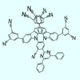 N#Cc1cc(C#N)cc(-c2ccc3c(c2)c2cc(-c4cc(C#N)cc(C#N)c4)ccc2n3-c2cc(C#N)c(-c3nc(-c4ccccc4)cc(-c4ccccc4)n3)cc2-n2c3ccc(-c4cc(C#N)cc(C#N)c4)cc3c3cc(-c4cc(C#N)cc(C#N)c4)ccc32)c1